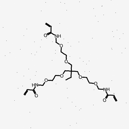 C=CC(=O)NCOCCOCC(CC)(COCCOCNC(=O)C=C)COCCOCNC(=O)C=C